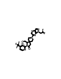 CCC1N(c2cc(C(F)(F)F)ccn2)C(=O)CC12CCN(c1cnc3cnn(CC(F)F)c3n1)CC2